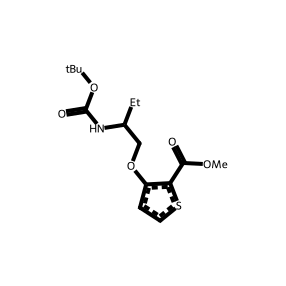 CCC(COc1ccsc1C(=O)OC)NC(=O)OC(C)(C)C